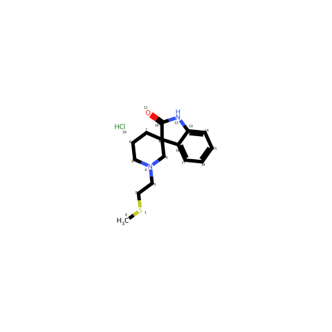 CSCCN1CCCC2(C1)C(=O)Nc1ccccc12.Cl